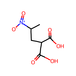 CC(CC(C(=O)O)C(=O)O)[N+](=O)[O-]